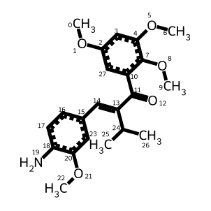 COc1cc(OC)c(OC)c(C(=O)C(=Cc2ccc(N)c(OC)c2)C(C)C)c1